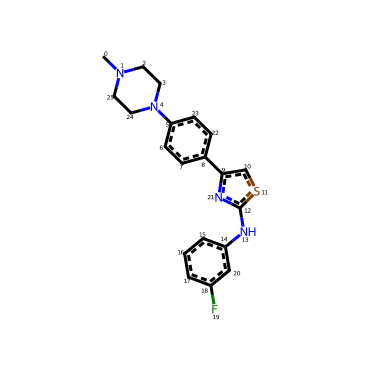 CN1CCN(c2ccc(-c3csc(Nc4cccc(F)c4)n3)cc2)CC1